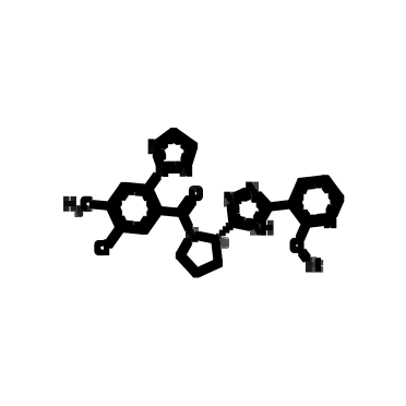 CCOc1ncccc1-c1nnc([C@@H]2CCCN2C(=O)c2cc(Cl)c(C)cc2-n2nccn2)[nH]1